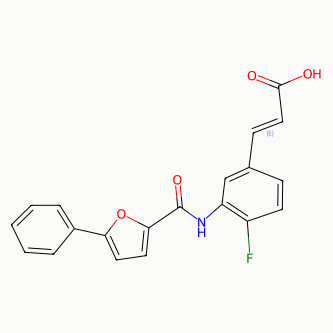 O=C(O)/C=C/c1ccc(F)c(NC(=O)c2ccc(-c3ccccc3)o2)c1